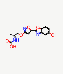 C[C@@H](COc1cc(-c2nc3cc(O)ccc3o2)on1)NC(=O)O